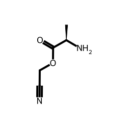 C[C@@H](N)C(=O)OCC#N